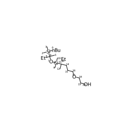 CCCC[Si](C)(C)C(C)(CC)O[Si](C)(C)[C@@](C)(CC)CCCOCCO